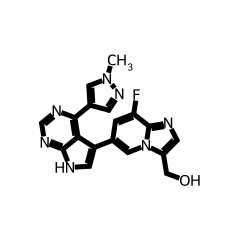 Cn1cc(-c2ncnc3[nH]cc(-c4cc(F)c5ncc(CO)n5c4)c23)cn1